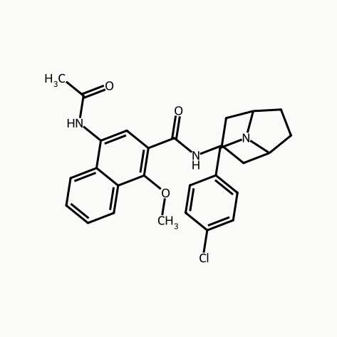 COc1c(C(=O)NC2CC3CCC(C2)N3Cc2ccc(Cl)cc2)cc(NC(C)=O)c2ccccc12